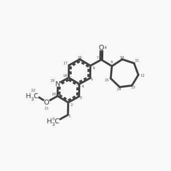 CCc1cc2cc(C(=O)C3CCCCCC3)ccc2nc1OC